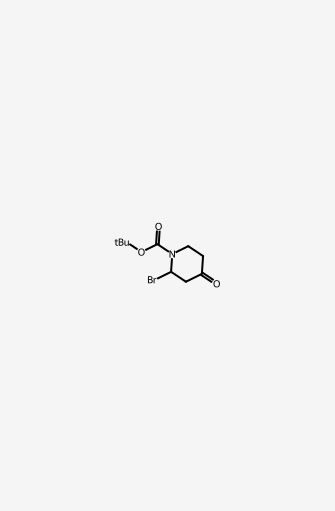 CC(C)(C)OC(=O)N1CCC(=O)CC1Br